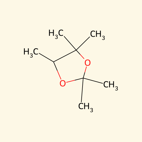 CC1OC(C)(C)OC1(C)C